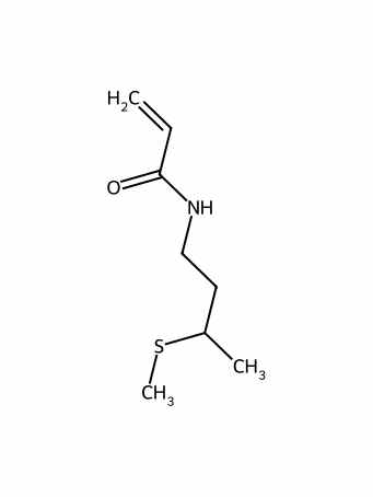 C=CC(=O)NCCC(C)SC